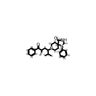 CC(C)C(CC(F)C(=O)c1ccccc1)N1CCC2(CC1)C(=O)NCN2c1ccccc1